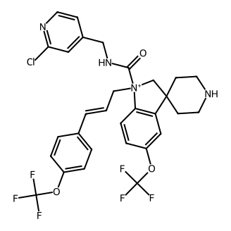 O=C(NCc1ccnc(Cl)c1)[N+]1(C/C=C/c2ccc(OC(F)(F)F)cc2)CC2(CCNCC2)c2cc(OC(F)(F)F)ccc21